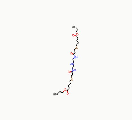 CC(C)(C)CCOC(=O)CCCCSCCC(=O)NCCNCCNC(=O)CCSCCCCC(=O)OCCC(C)(C)C